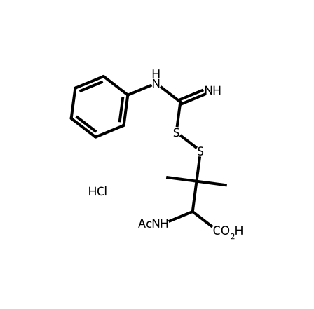 CC(=O)NC(C(=O)O)C(C)(C)SSC(=N)Nc1ccccc1.Cl